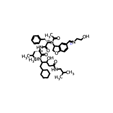 CC(=O)N(C1COc2ccc(/C=N/CCO)cc21)[C@@H](Cc1ccccc1)C(=O)N[C@@H](CC(C)C)C(=O)NC(CC1CCCCC1)C(O)CC(=O)NCC(C)C